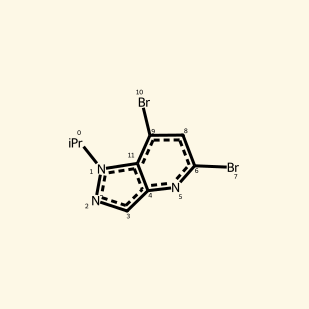 CC(C)n1ncc2nc(Br)cc(Br)c21